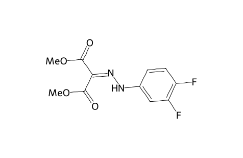 COC(=O)C(=NNc1ccc(F)c(F)c1)C(=O)OC